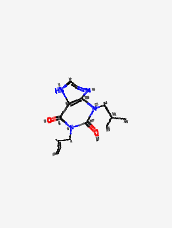 C=CCn1c(=O)c2[nH]cnc2n(CC(C)C)c1=O